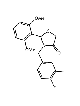 COc1cccc(OC)c1C1SCC(=O)N1Cc1ccc(F)c(F)c1